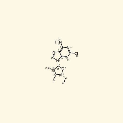 CC[C@H]1O[C@@H](n2cnc3c(N)nc(Cl)nc32)[C@H](F)C1C